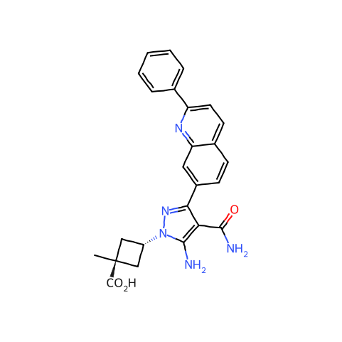 C[C@]1(C(=O)O)C[C@H](n2nc(-c3ccc4ccc(-c5ccccc5)nc4c3)c(C(N)=O)c2N)C1